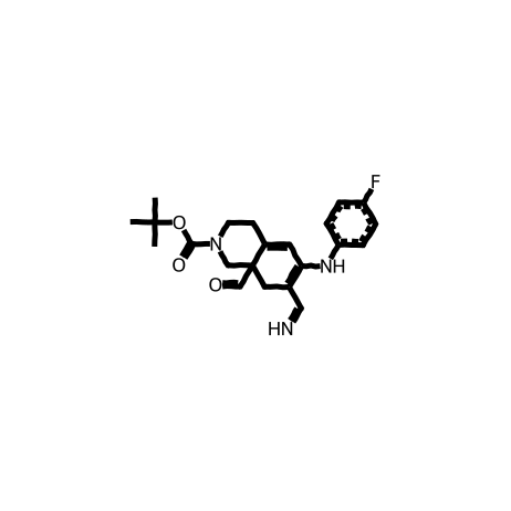 CC(C)(C)OC(=O)N1CCC2=CC(Nc3ccc(F)cc3)=C(C=N)CC2(C=O)C1